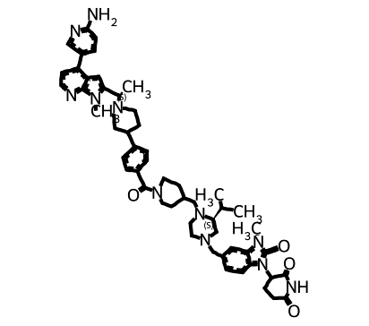 CC(C)[C@H]1CN(Cc2ccc3c(c2)n(C)c(=O)n3C2CCC(=O)NC2=O)CCN1CC1CCN(C(=O)c2ccc(C3CCN([C@@H](C)c4cc5c(-c6ccc(N)nc6)ccnc5n4C)CC3)cc2)CC1